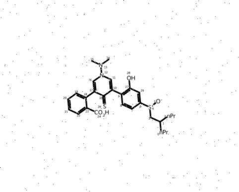 CCCC(CCC)C[S+]([O-])c1ccc(-c2cn(N(C)C)cc(-c3ccccc3C(=O)O)c2=S)c(O)c1